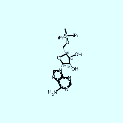 CC(C)[Si](C)(OC[C@H]1O[C@@H](n2cnc3c(N)ncnc32)[C@@H](O)[C@@H]1O)C(C)C